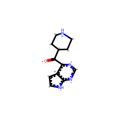 O=C(c1ncnc2[nH]ccc12)C1CCNCC1